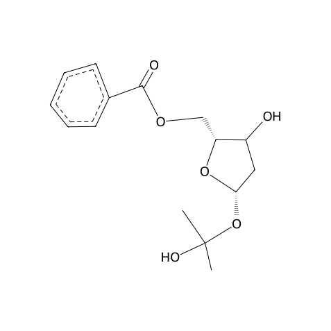 CC(C)(O)O[C@H]1CC(O)[C@@H](COC(=O)c2ccccc2)O1